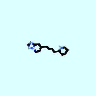 C(C=Cc1ccccn1)=Cc1ccn2ncnc2c1